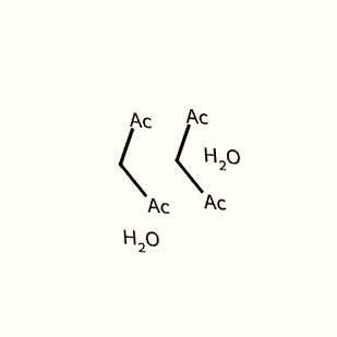 CC(=O)CC(C)=O.CC(=O)CC(C)=O.O.O